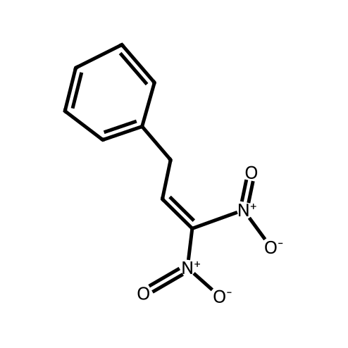 O=[N+]([O-])C(=CCc1ccccc1)[N+](=O)[O-]